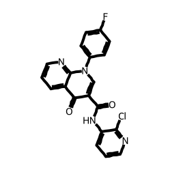 O=C(Nc1cccnc1Cl)c1cn(-c2ccc(F)cc2)c2ncccc2c1=O